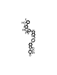 O=C1CC[C@H](N2Cc3ccc(N4CCN(Cc5cc6cnn([C@H]7CN8c9cc(-c%10cccc(F)c%10O)nnc9NC[C@@]8(C(F)F)C7)c6cn5)CC4)cc3C2=O)C(=O)N1